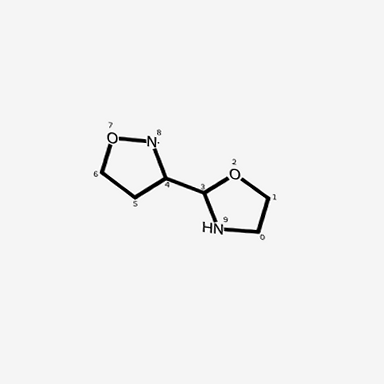 C1COC(C2CCO[N]2)N1